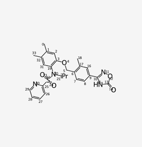 Cc1cc(OCc2ccc(-c3noc(=O)[nH]3)cc2C)c(N(C(C)C)S(=O)(=O)c2ccccn2)cc1C